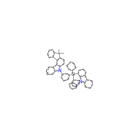 CC1(C)c2ccccc2-c2c1ccc1c2c2ccccc2n1-c1cccc([Si](c2ccccc2)(c2ccccc2)c2cccc3c4ccccc4n(-c4ccccc4)c23)c1